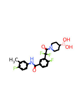 Cc1cc(NC(=O)c2ccc(F)c(C(F)(F)C(=O)N3CCC(B(O)O)CC3)c2)ccc1F